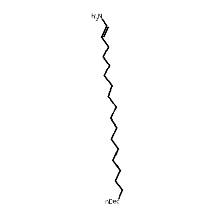 CCCCCCCCCCCCCCCCCCCCCCCCC/C=C/N